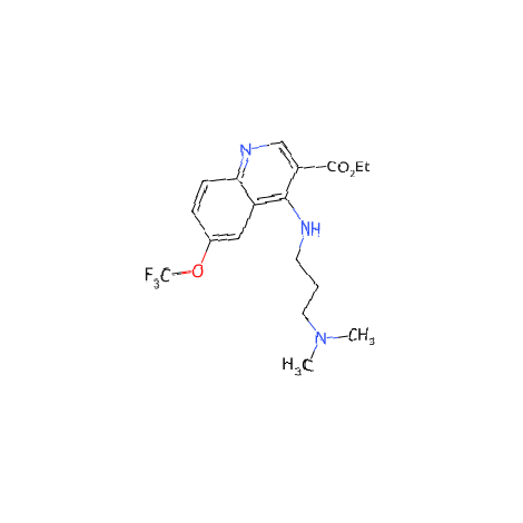 CCOC(=O)c1cnc2ccc(OC(F)(F)F)cc2c1NCCCN(C)C